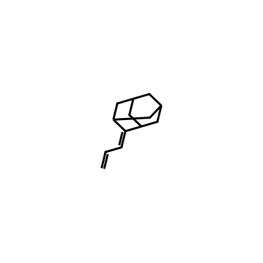 C=CC=C1C2CC3CC(C2)CC1C3